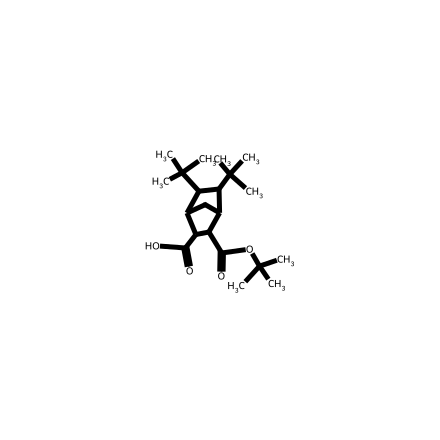 CC(C)(C)OC(=O)C1C2CC(C1C(=O)O)C(C(C)(C)C)C2C(C)(C)C